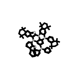 CC1(C)CCC(C)(C)c2cc(N3c4cc5c(cc4B4c6oc7cc8c(cc7c6N(c6cccc7c6sc6ccccc67)c6cc(N(c7ccccc7)c7ccccc7)cc3c64)C(C)(C)CCC8(C)C)C(C)(C)CCC5(C)C)ccc21